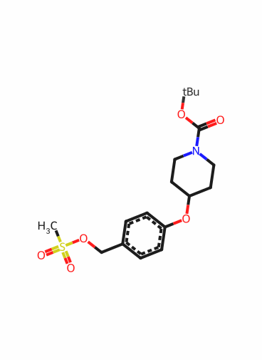 CC(C)(C)OC(=O)N1CCC(Oc2ccc(COS(C)(=O)=O)cc2)CC1